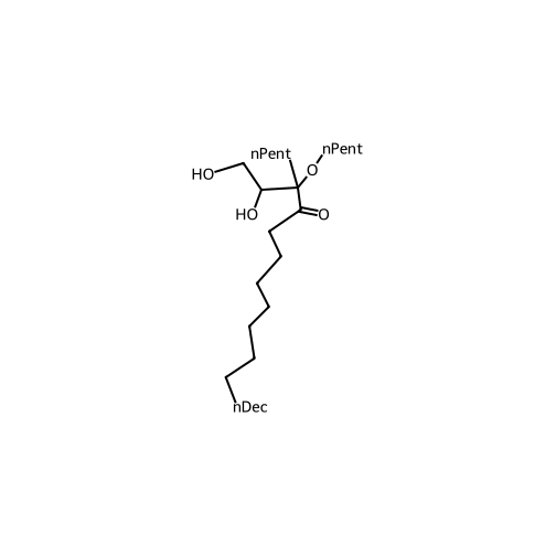 CCCCCCCCCCCCCCCCCC(=O)C(CCCCC)(OCCCCC)C(O)CO